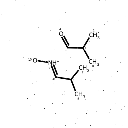 CC(C)C=O.CC(C)C=[NH+][O-]